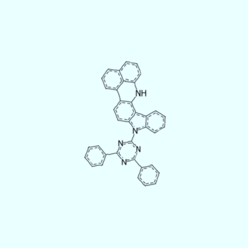 c1ccc(-c2nc(-c3ccccc3)nc(-n3c4ccccc4c4c5c(ccc43)-c3cccc4cccc(c34)N5)n2)cc1